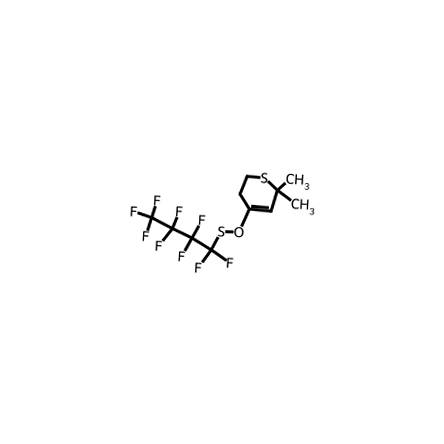 CC1(C)C=C(OSC(F)(F)C(F)(F)C(F)(F)C(F)(F)F)CCS1